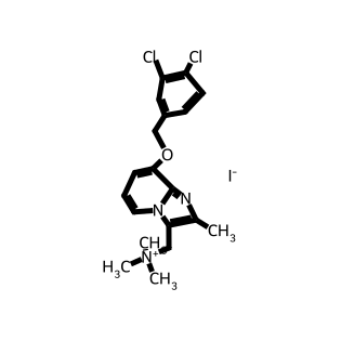 Cc1nc2c(OCc3ccc(Cl)c(Cl)c3)cccn2c1C[N+](C)(C)C.[I-]